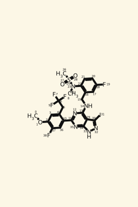 COc1cc(CC(F)(F)F)c(-c2nc(NCc3cc(F)ccc3N(C)S(C)(=O)=O)c3c(I)n[nH]c3n2)cc1F